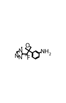 Cn1cnnc1[C@H](F)C1(c2cccc(N)c2)COC1